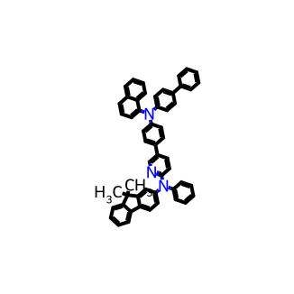 CC1(C)c2ccccc2-c2ccc(N(c3ccccc3)c3ccc(-c4ccc(N(c5ccc(-c6ccccc6)cc5)c5cccc6ccccc56)cc4)cn3)cc21